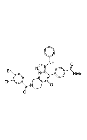 CNC(=O)c1ccc(-n2c(=O)c3c(n4ncc(Nc5ccccc5)c24)CN(C(=O)c2ccc(Br)c(Cl)c2)CC3)cc1